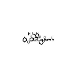 CN(C)CC=CC(=O)N1CCC[C@@H](Nc2ncnc(N)c2-c2ccc(Oc3ccccc3)cc2)C1